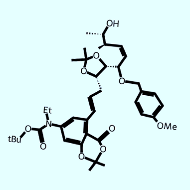 CCN(C(=O)OC(C)(C)C)c1cc(/C=C/C[C@@H]2OC(C)(C)O[C@@H]2C(/C=C\[C@@H](C)[C@H](C)O)OCc2ccc(OC)cc2)c2c(c1)OC(C)(C)OC2=O